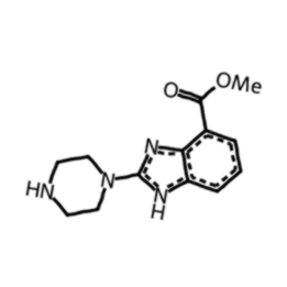 COC(=O)c1cccc2[nH]c(N3CCNCC3)nc12